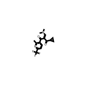 Cc1nc(C(F)(F)F)ccc1C(=O)/C(=C\N(C)C)C(=O)C1CC1